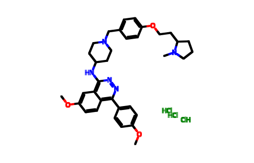 COc1ccc(-c2nnc(NC3CCN(Cc4ccc(OCCC5CCCN5C)cc4)CC3)c3cc(OC)ccc23)cc1.Cl.Cl.Cl